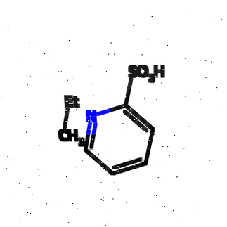 CCC.O=S(=O)(O)c1ccccn1